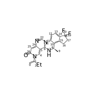 C=C(CC)n1cc2c(N[C@H](C)c3cccc4c3CCC4(F)F)ncnc2cc1=O